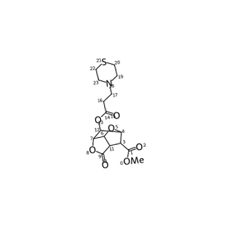 COC(=O)C1C2OC3C(OC(=O)C31)C2OC(=O)CCN1CCSCC1